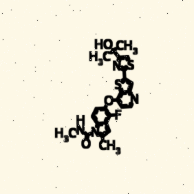 CNC(=O)n1c(C)cc2c(F)c(Oc3ccnc4cc(-c5nc(C(C)(C)O)cs5)sc34)ccc21